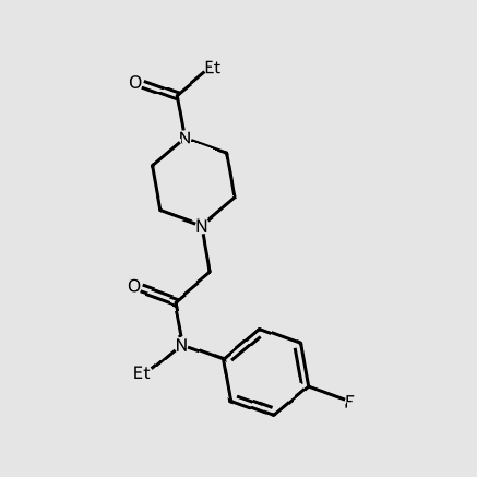 CCC(=O)N1CCN(CC(=O)N(CC)c2ccc(F)cc2)CC1